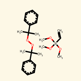 C=C[Si](OC)(OC)OC.CC(C)(OOC(C)(C)c1ccccc1)c1ccccc1